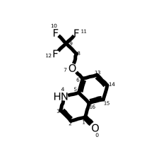 O=c1cc[nH]c2c(OCC(F)(F)F)cccc12